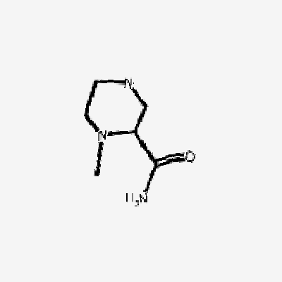 CN1CC[N]CC1C(N)=O